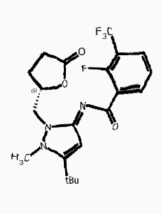 Cn1c(C(C)(C)C)cc(=NC(=O)c2cccc(C(F)(F)F)c2F)n1C[C@@H]1CCC(=O)O1